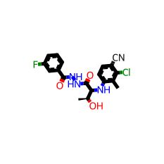 Cc1c(NC(C(=O)NNC(=O)c2cccc(F)c2)[C@H](C)O)ccc(C#N)c1Cl